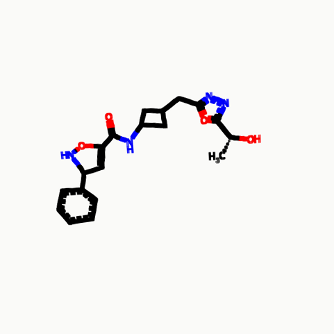 C[C@@H](O)c1nnc(CC2CC(NC(=O)C3=CC(c4ccccc4)NO3)C2)o1